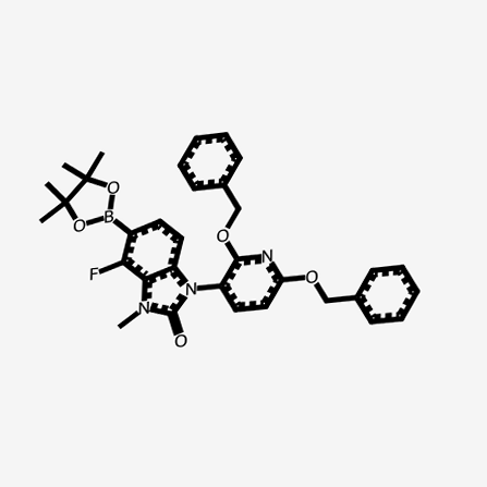 Cn1c(=O)n(-c2ccc(OCc3ccccc3)nc2OCc2ccccc2)c2ccc(B3OC(C)(C)C(C)(C)O3)c(F)c21